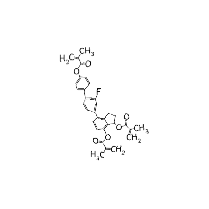 C=C(C)C(=O)Oc1ccc(-c2ccc(-c3ccc(OC(=O)C(=C)C)c4c3CCC4OC(=O)C(=C)C)cc2F)cc1